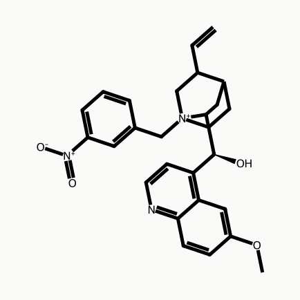 C=CC1C[N+]2(Cc3cccc([N+](=O)[O-])c3)CCC1CC2[C@@H](O)c1ccnc2ccc(OC)cc12